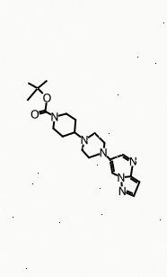 CC(C)(C)OC(=O)N1CCC(N2CCN(c3cnc4ccnn4c3)CC2)CC1